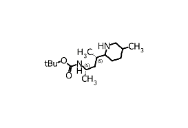 CC1CCC([C@@H](C)C[C@H](C)NC(=O)OC(C)(C)C)NC1